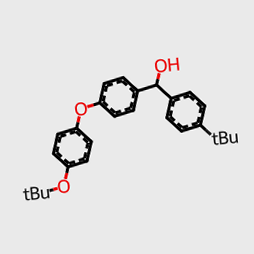 CC(C)(C)Oc1ccc(Oc2ccc(C(O)c3ccc(C(C)(C)C)cc3)cc2)cc1